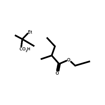 CCC(C)(C)C(=O)O.CCOC(=O)C(C)CC